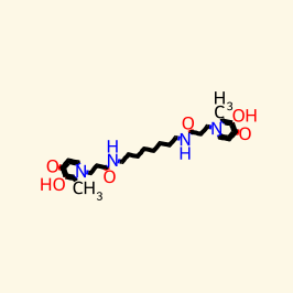 Cc1c(O)c(=O)ccn1CCC(=O)NCCCCCCCCNC(=O)CCn1ccc(=O)c(O)c1C